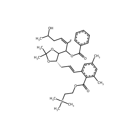 Cc1cc(C)c(C(=O)OCC[Si](C)(C)C)c(/C=C/C[C@@H]2OC(C)(C)OC2C(OC(=O)c2ccccc2)/C(F)=C\CC(C)O)c1